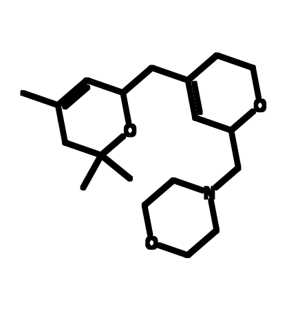 CC1=CC(CC2=CC(CN3CCOCC3)OCC2)OC(C)(C)C1